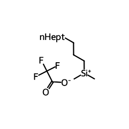 CCCCCCCCCC[Si+](C)C.O=C([O-])C(F)(F)F